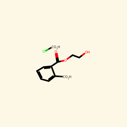 O=C(O)Cl.O=C(O)c1ccccc1C(=O)OCCO